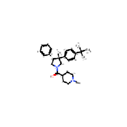 CC(=O)N1CCC(C(=O)N2C[C@H](c3ccccc3)[C@](C)(c3ccc(C(C)(C(F)(F)F)C(F)(F)F)cc3)C2)CC1